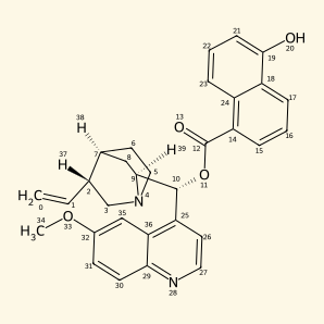 C=C[C@H]1CN2CC[C@H]1C[C@H]2[C@H](OC(=O)c1cccc2c(O)cccc12)c1ccnc2ccc(OC)cc12